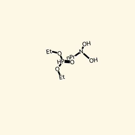 CCCN(O)O.CCO[PH](=O)OCC